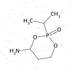 CC(C)P1(=O)OCCC(N)O1